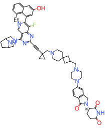 CCc1cccc2cc(O)cc(-c3ncc4c(N5CC6CCC(C5)N6)nc(C#CC5(CN6CCC7(CC6)CC(CN6CCN(c8ccc9c(c8)CN([C@H]8CCC(=O)NC8=O)C9=O)CC6)C7)CC5)nc4c3F)c12